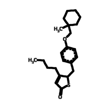 CCCCC1=CC(=O)SC1Cc1ccc(OCC2(C)CCCCC2)cc1